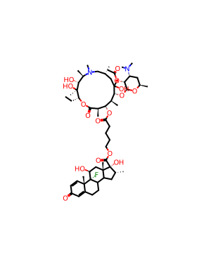 CC[C@H]1OC(=O)[C@H](C)[C@@H](OC(=O)CCCCOC(=O)[C@@]2(O)[C@H](C)CC3C4CCC5=CC(=O)C=C[C@]5(C)[C@@]4(F)[C@@H](O)C[C@@]32C)[C@H](C)[C@@H](O[C@@H]2O[C@H](C)C[C@@H](N(C)C)[C@H]2OC(C)=O)C(C)(O)C[C@@H](C)CN(C)[C@H](C)[C@@H](O)[C@]1(C)O